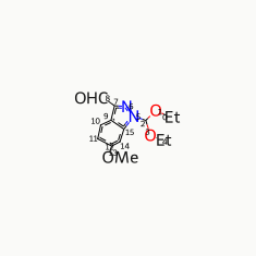 CCOC(OCC)n1nc(C=O)c2ccc(OC)cc21